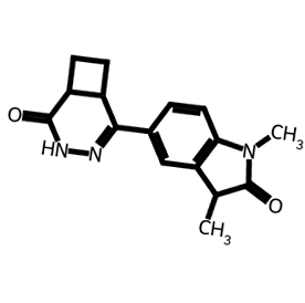 CC1C(=O)N(C)c2ccc(C3=NNC(=O)C4CCC34)cc21